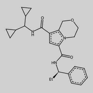 CC[C@@H](NC(=O)c1cc(C(=O)NC(C2CC2)C2CC2)c2n1CCOC2)c1ccccc1